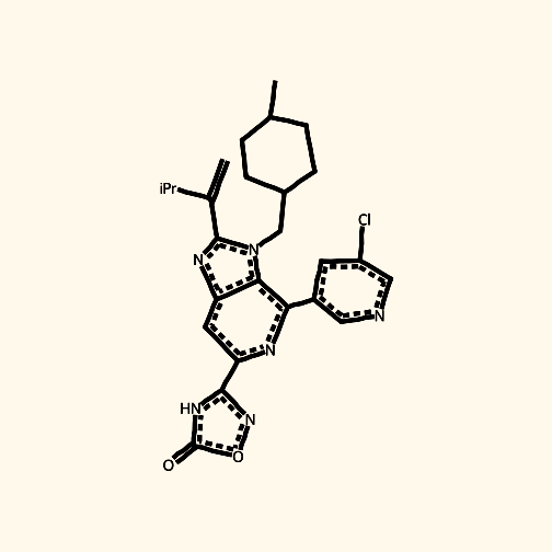 C=C(c1nc2cc(-c3noc(=O)[nH]3)nc(-c3cncc(Cl)c3)c2n1CC1CCC(C)CC1)C(C)C